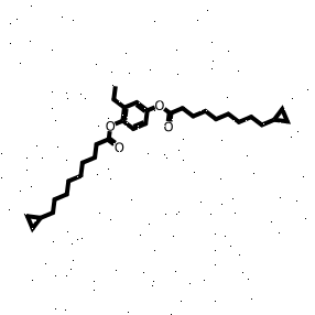 CCc1cc(OC(=O)CCCCCCCCC2CC2)ccc1OC(=O)CCCCCCCCC1CC1